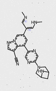 C/N=C/C(=C\NC)c1cc(-c2cnc(N3CC4CC(C3)N4)cn2)c2c(C#N)cnn2c1